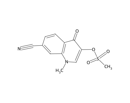 Cn1cc(OS(C)(=O)=O)c(=O)c2ccc(C#N)cc21